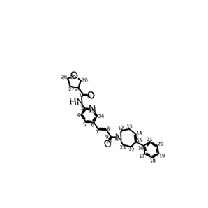 O=C(Nc1ccc(/C=C/C(=O)N2CCC=C(c3ccccc3)CC2)cn1)C1CCOC1